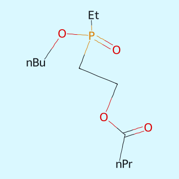 CCCCOP(=O)(CC)CCOC(=O)CCC